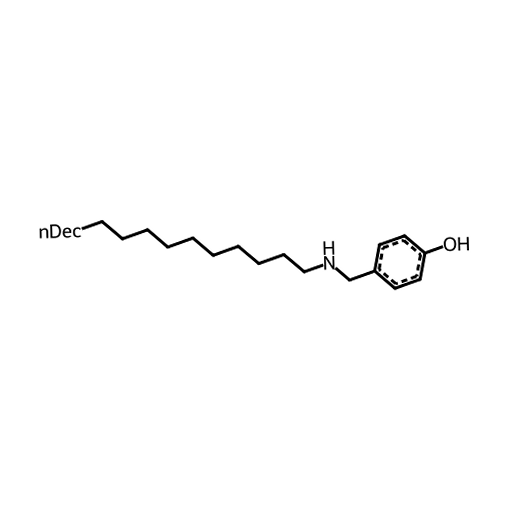 CCCCCCCCCCCCCCCCCCCCNCc1ccc(O)cc1